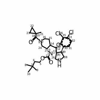 CN(C(=O)OCCC(C)(C)C)[C@@]1(C(=O)C2CCN(C(=O)C3(C)CC3)CC2)CNC[C@@H]1c1ccc(Cl)c(Cl)c1